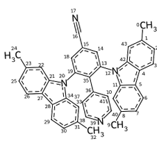 Cc1ccc2c3ccc(C)cc3n(-c3cc(C#N)cc(-n4c5cc(C)ccc5c5ccc(C)cc54)c3-c3ccncc3)c2c1